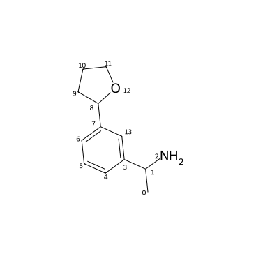 CC(N)c1cccc(C2CCCO2)c1